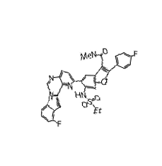 CCS(=O)(=O)Nc1cc2oc(-c3ccc(F)cc3)c(C(=O)NC)c2cc1-c1ccc2ncn3c4cccc(F)c4cc3c2n1